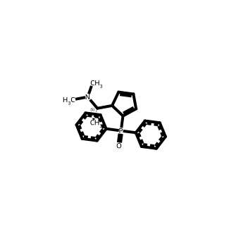 C[C@@H](C1C=CC=C1P(=O)(c1ccccc1)c1ccccc1)N(C)C